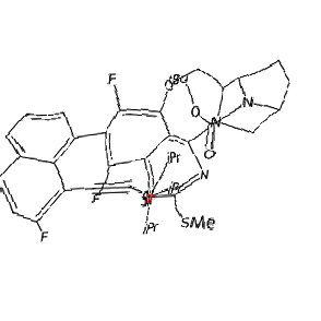 CSc1nc2c3c(c(F)c(-c4cccc5ccc(F)c(C#C[Si](C(C)C)(C(C)C)C(C)C)c45)c(F)c3n1)OCC1C3CCC(CN21)N3C(=O)OC(C)(C)C